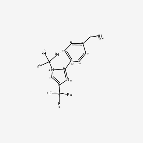 [2H]C([2H])([2H])n1cc(C(F)(F)F)nc1-c1ccc(CN)cc1